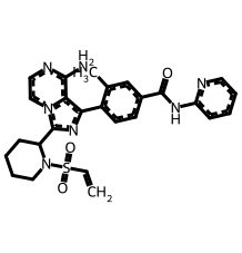 C=CS(=O)(=O)N1CCCCC1c1nc(-c2ccc(C(=O)Nc3ccccn3)cc2C)c2c(N)nccn12